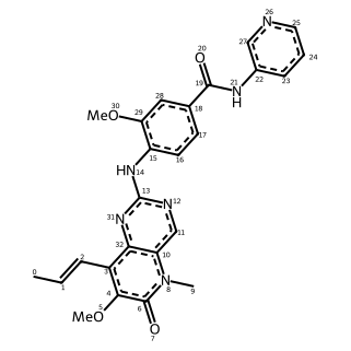 CC=Cc1c(OC)c(=O)n(C)c2cnc(Nc3ccc(C(=O)Nc4cccnc4)cc3OC)nc12